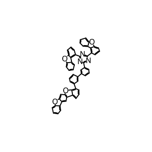 c1cc(-c2cccc(-c3cccc4c3oc3cc5oc6ccccc6c5cc34)c2)cc(-c2nc(-c3cccc4oc5ccccc5c34)nc(-c3cccc4oc5ccccc5c34)n2)c1